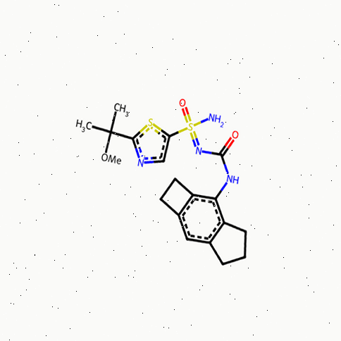 COC(C)(C)c1ncc(S(N)(=O)=NC(=O)Nc2c3c(cc4c2CC4)CCC3)s1